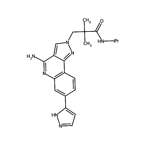 CC(C)NC(=O)C(C)(C)Cn1cc2c(N)nc3cc(-c4ccn[nH]4)ccc3c2n1